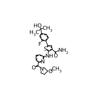 CO[C@@H]1CCN(C(=O)c2cccc(Nc3sc(-c4ccc(C(C)(C)O)cc4F)cc3C(N)=O)n2)C1